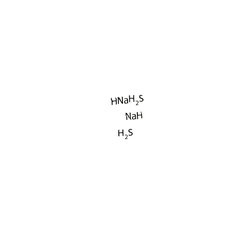 S.S.[NaH].[NaH]